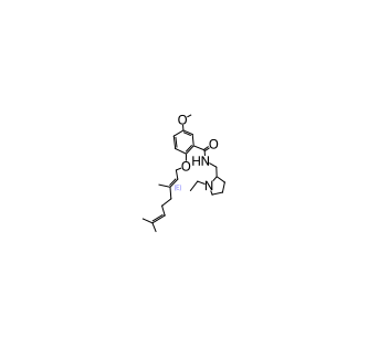 CCN1CCCC1CNC(=O)c1cc(OC)ccc1OC/C=C(\C)CCC=C(C)C